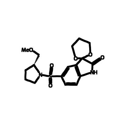 COC[C@H]1CCCN1S(=O)(=O)c1ccc2c(c1)C1(OCCCO1)C(=O)N2